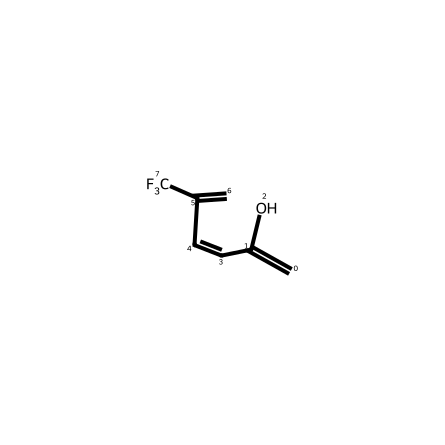 C=C(O)/C=C\C(=C)C(F)(F)F